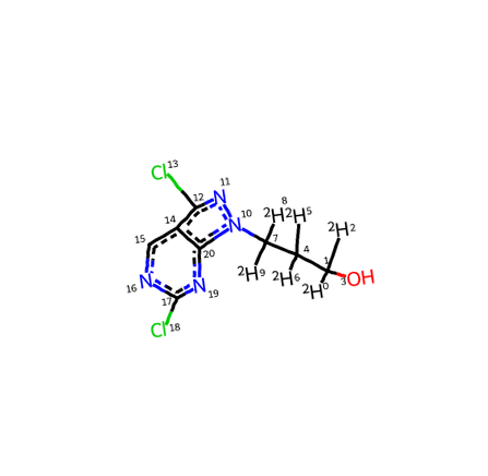 [2H]C([2H])(O)C([2H])([2H])C([2H])([2H])n1nc(Cl)c2cnc(Cl)nc21